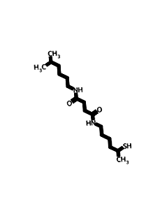 CC(C)CCCCNC(=O)CCC(=O)NCCCCC(C)S